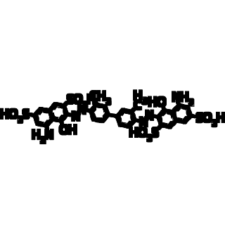 Cc1cc(-c2ccc(/N=N/c3c(S(=O)(=O)O)cc4cc(S(=O)(=O)O)cc(N)c4c3O)c(C)c2)ccc1/N=N/c1c(S(=O)(=O)O)cc2cc(S(=O)(=O)O)cc(N)c2c1O